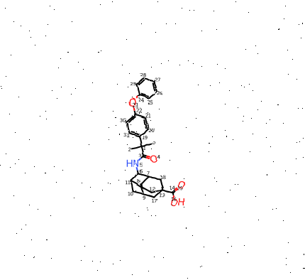 CC(C)(C(=O)NC1C2CC3CC1CC(C(=O)O)(C3)C2)c1ccc(Oc2ccccc2)cc1